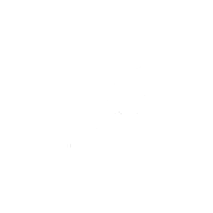 C=CCO[n+]1ccc(Cl)cc1